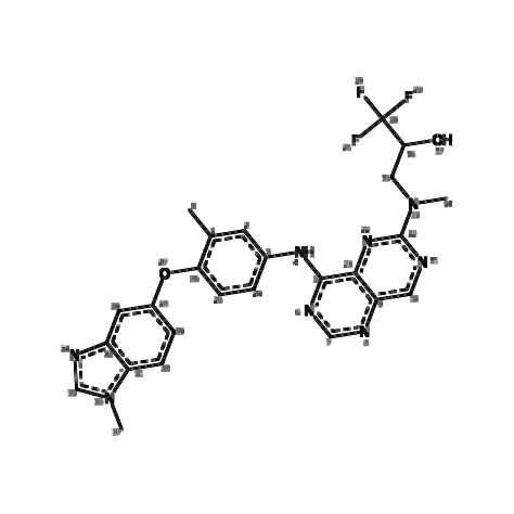 Cc1cc(Nc2ncnc3cnc(N(C)CC(O)C(F)(F)F)nc23)ccc1Oc1ccc2c(c1)ncn2C